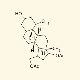 CC(=O)OCC1CC(OC(C)=O)[C@@]2(C)CC[C@@H]3[C@@H](CCC4CC(O)CC(C)[C@@]43C)[C@H]12